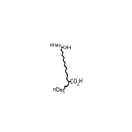 CCCCCCCCCCCCC(CCCCCCCCCCCC(O)CCCCCC)C(=O)O